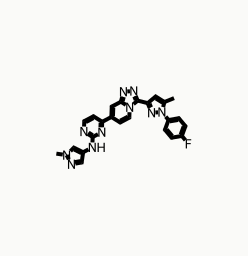 Cc1cc(-c2nnc3cc(-c4ccnc(Nc5cnn(C)c5)n4)ccn23)nn1-c1ccc(F)cc1